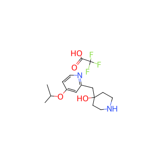 CC(C)Oc1ccnc(CC2(O)CCNCC2)c1.O=C(O)C(F)(F)F